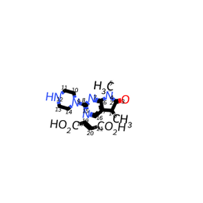 CC1C(=O)N(C)c2nc(N3CCNCC3)ncc21.O=C(O)C=CC(=O)O